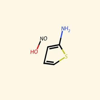 Nc1cccs1.O=NO